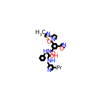 Cc1csc([C@H]2CCCN2C(=O)c2cc(C(=O)N[C@@H](Cc3ccccc3)[C@@H](O)CNCc3cncc(C(C)C)c3)cc(-c3cnco3)c2)n1